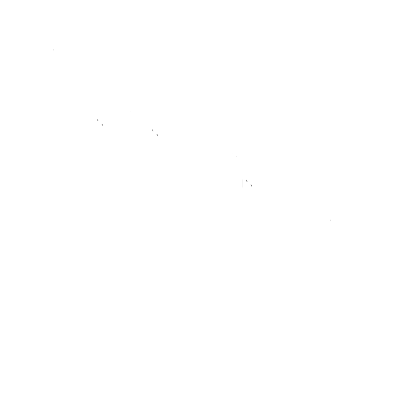 CC(NC(=O)[C@@H]1CCN(c2ccc(C(F)(F)F)cn2)C1)c1cc2cc(F)ccc2o1